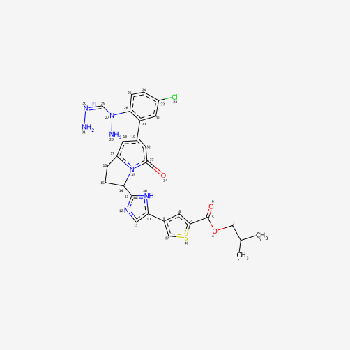 CC(C)COC(=O)c1cc(-c2cnc(C3CCc4cc(-c5cc(Cl)ccc5N(N)/C=N\N)cc(=O)n43)[nH]2)cs1